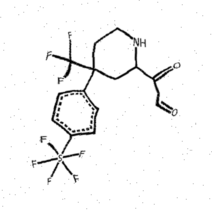 O=CC(=O)C1CC(c2ccc(S(F)(F)(F)(F)F)cc2)(C(F)(F)F)CCN1